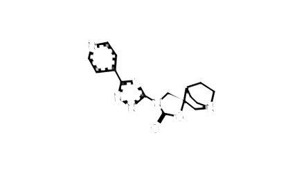 O=C1O[C@]2(CN3CCC2CC3)CN1c1nnc(-c2ccncc2)s1